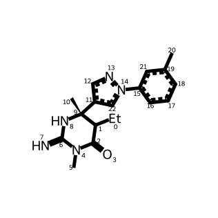 CCC1C(=O)N(C)C(=N)N[C@]1(C)c1cnn(-c2cccc(C)c2)c1